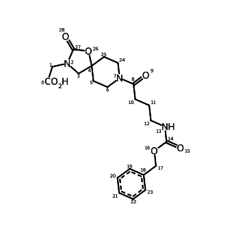 O=C(O)CN1CC2(CCN(C(=O)CCCNC(=O)OCc3ccccc3)CC2)OC1=O